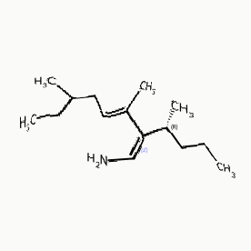 CCC[C@@H](C)/C(=C/N)C(C)=CCC(C)CC